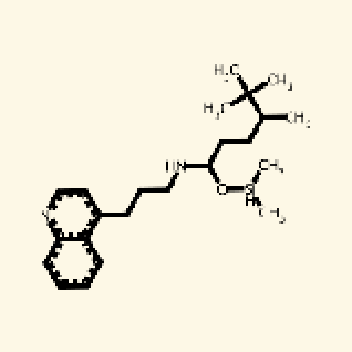 CC(CCC(NCCCc1ccnc2ccccc12)O[SiH](C)C)C(C)(C)C